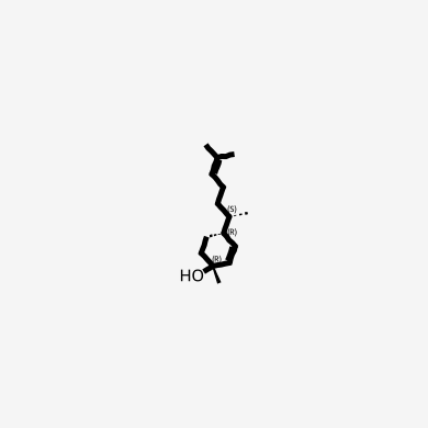 CC(C)=CCC[C@H](C)[C@@H]1C=C[C@](C)(O)CC1